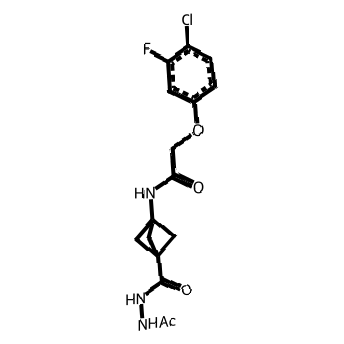 CC(=O)NNC(=O)C12CC(NC(=O)COc3ccc(Cl)c(F)c3)(C1)C2